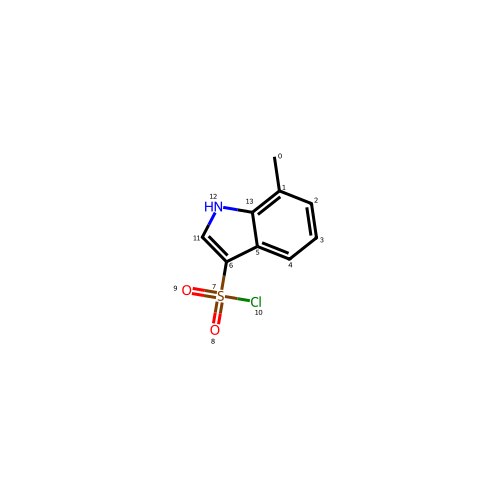 Cc1cccc2c(S(=O)(=O)Cl)c[nH]c12